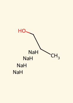 CCCO.[NaH].[NaH].[NaH].[NaH]